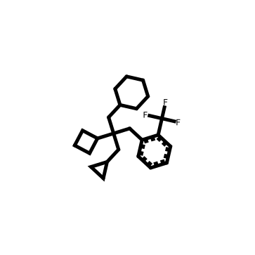 FC(F)(F)c1ccccc1CC(CC1CCCCC1)(CC1CC1)C1CCC1